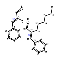 C/C(C=O)=C\c1ccccc1.CCCCCC/C(C=O)=C\c1ccccc1